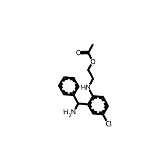 CC(=O)OCCNc1ccc(Cl)cc1C(N)c1ccccc1